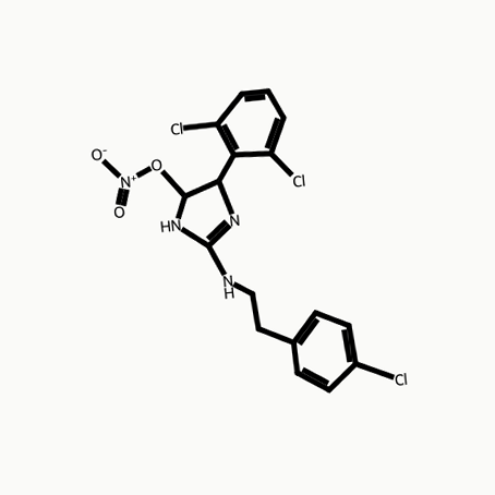 O=[N+]([O-])OC1NC(NCCc2ccc(Cl)cc2)=NC1c1c(Cl)cccc1Cl